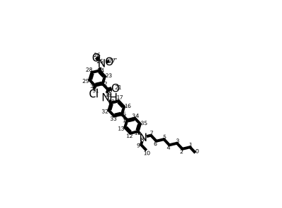 CCCCCCCCN(CC)c1ccc(-c2ccc(NC(=O)c3cc([N+](=O)[O-])ccc3Cl)cc2)cc1